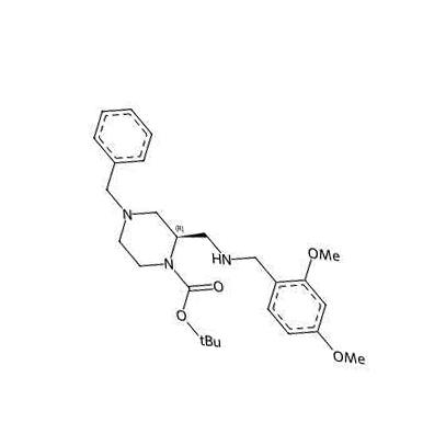 COc1ccc(CNC[C@@H]2CN(Cc3ccccc3)CCN2C(=O)OC(C)(C)C)c(OC)c1